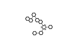 c1ccc(-c2cccc(-c3nc(-c4ccccc4)nc(-c4ccc5cc(-c6ccccc6-c6cccc7ccccc67)ccc5c4)n3)c2)cc1